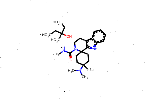 CCCCC1(N(C)C)CCC2(CC1)c1[nH]c3ccccc3c1CCN2C(=O)NCC.O=C(O)CC(O)(CC(=O)O)C(=O)O